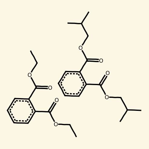 CC(C)COC(=O)c1ccccc1C(=O)OCC(C)C.CCOC(=O)c1ccccc1C(=O)OCC